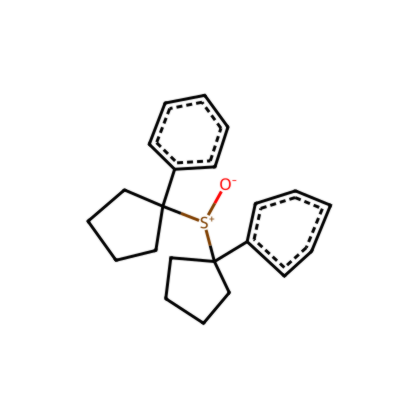 [O-][S+](C1(c2ccccc2)CCCC1)C1(c2ccccc2)CCCC1